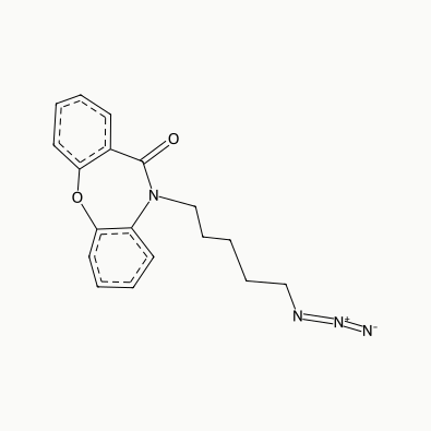 [N-]=[N+]=NCCCCCN1C(=O)c2ccccc2Oc2ccccc21